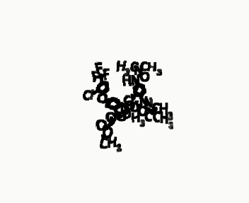 CCOC(=O)COC(=O)c1cc(Oc2ccc(C(F)(F)F)cc2Cl)ccc1[N+](=O)[O-].CN(C)C(=O)Nc1ccc(-n2nc(C(C)(C)C)oc2=O)c(Cl)c1